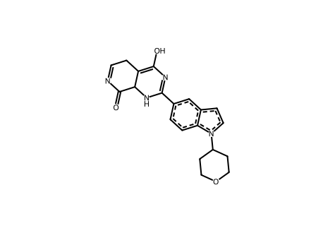 O=C1N=CCC2=C(O)N=C(c3ccc4c(ccn4C4CCOCC4)c3)NC12